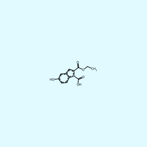 CCOC(=O)c1cc2cc(O)ccc2n1C(=O)O